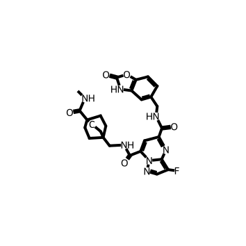 CNC(=O)C12CCC(CNC(=O)c3cc(C(=O)NCc4ccc5oc(=O)[nH]c5c4)nc4c(F)cnn34)(CC1)CC2